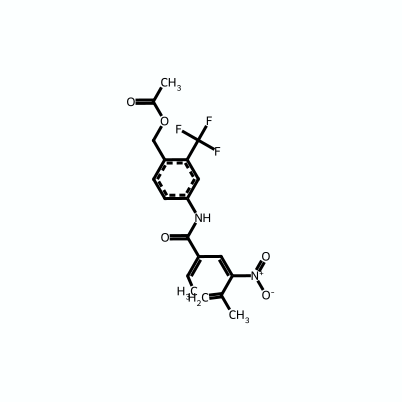 C=C(C)/C(=C\C(=C/C)C(=O)Nc1ccc(COC(C)=O)c(C(F)(F)F)c1)[N+](=O)[O-]